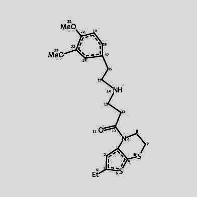 CCc1cc2c(s1)SCCN2C(=O)CCNCCc1ccc(OC)c(OC)c1